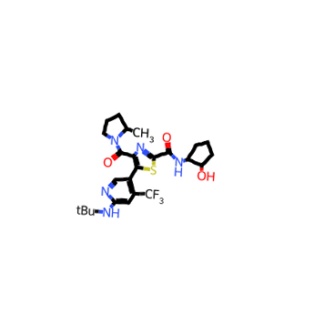 CC1CCCN1C(=O)c1nc(C(=O)NC2CCCC2O)sc1-c1cnc(NC(C)(C)C)cc1C(F)(F)F